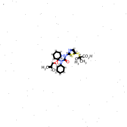 C=C(C)COC1(N(C(=O)Nc2ncc(SC(C)(C)C(=O)O)s2)C2CCCCC2)CCCCC1